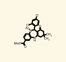 COC(=O)c1ccc2c(c1)NC1=C(C(=O)CC(C)(C)C1)C(c1ccc(Cl)cc1Cl)N2C(C)=O